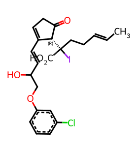 CC=CCCC(I)(C(=O)O)[C@H]1C(=O)CC=C1C=CC(O)COc1cccc(Cl)c1